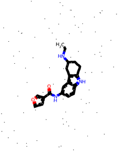 CCNC1CCc2[nH]c3ccc(NC(=O)c4ccoc4)cc3c2C1